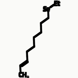 C/C=C/CCCCCC[Se]CC